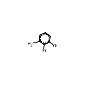 CCc1c(C)cccc1[O]